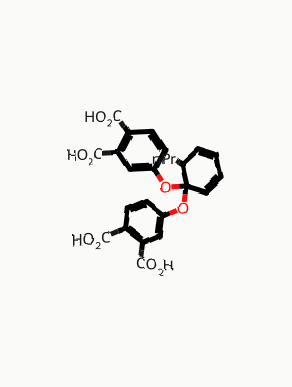 CCCC1C=CC=CC1(Oc1ccc(C(=O)O)c(C(=O)O)c1)Oc1ccc(C(=O)O)c(C(=O)O)c1